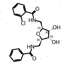 O=C(NC[C@H]1O[C@@H](CNC(=O)c2ccccc2Cl)[C@H](O)[C@@H]1O)c1ccccc1